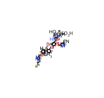 Cc1c(COc2cc(OCc3cncc(C#N)c3)c(CN[C@H](CS(=O)(=O)O)C(=O)NCC(S(=O)(=O)O)S(=O)(=O)O)cc2Br)cccc1-c1cccc(OCc2cn(CCCF)nn2)c1C